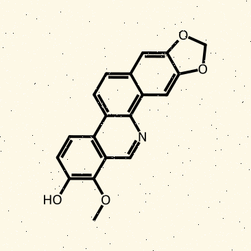 COc1c(O)ccc2c1cnc1c3cc4c(cc3ccc21)OCO4